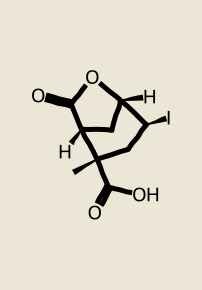 C[C@]1(C(=O)O)C[C@H](I)[C@@H]2C[C@H]1C(=O)O2